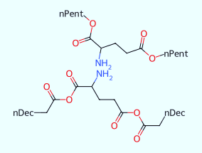 CCCCCCCCCCCC(=O)OC(=O)CCC(N)C(=O)OC(=O)CCCCCCCCCCC.CCCCCOC(=O)CCC(N)C(=O)OCCCCC